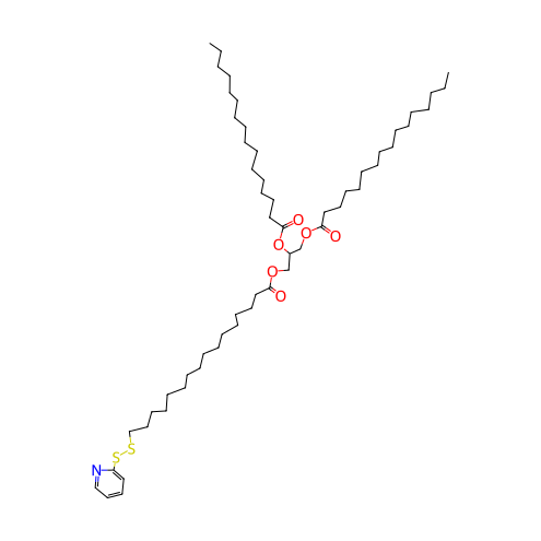 CCCCCCCCCCCCCCCC(=O)OCC(COC(=O)CCCCCCCCCCCCCCCSSc1ccccn1)OC(=O)CCCCCCCCCCCCCCC